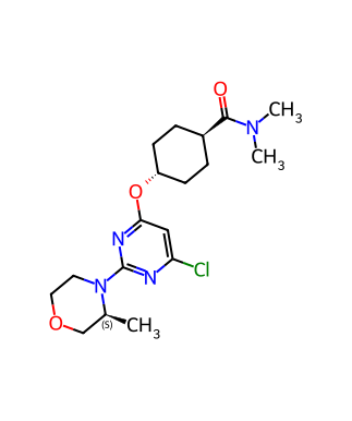 C[C@H]1COCCN1c1nc(Cl)cc(O[C@H]2CC[C@H](C(=O)N(C)C)CC2)n1